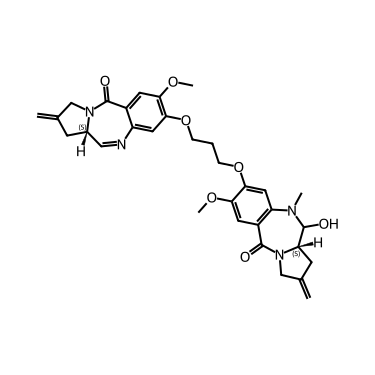 C=C1C[C@H]2C=Nc3cc(OCCCOc4cc5c(cc4OC)C(=O)N4CC(=C)C[C@H]4C(O)N5C)c(OC)cc3C(=O)N2C1